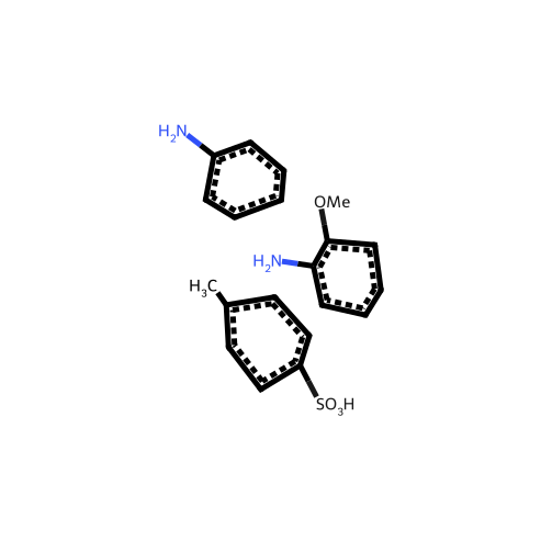 COc1ccccc1N.Cc1ccc(S(=O)(=O)O)cc1.Nc1ccccc1